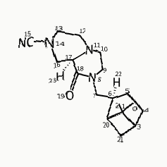 CC1(C)C2CC[C@H](CN3CCN4CCN(C#N)C[C@@H]4C3=O)C1C2